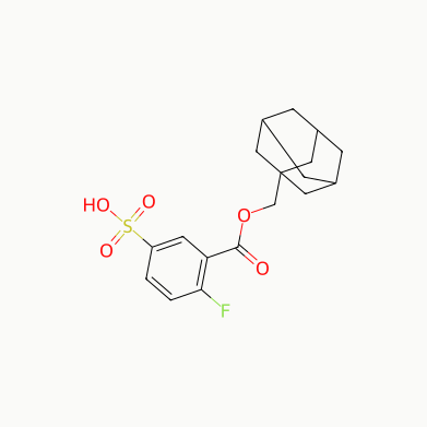 O=C(OCC12CC3CC(CC(C3)C1)C2)c1cc(S(=O)(=O)O)ccc1F